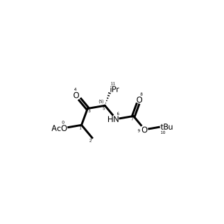 CC(=O)OC(C)C(=O)[C@@H](NC(=O)OC(C)(C)C)C(C)C